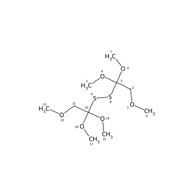 COCC(OC)(OC)SSC(COC)(OC)OC